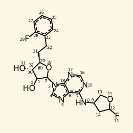 OC1C(n2cnc3c(NC4COC(F)C4)ncnc32)O[C@H](CCc2ccccc2F)[C@H]1O